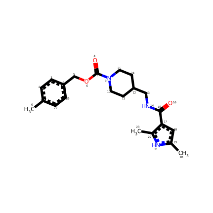 Cc1ccc(COC(=O)N2CCC(CNC(=O)c3cc(C)[nH]c3C)CC2)cc1